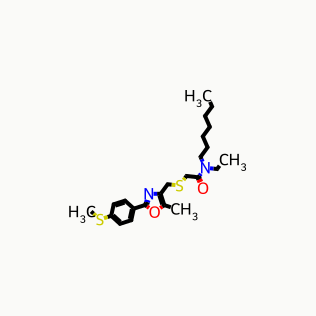 CCCCCCCN(CC)C(=O)CSCc1nc(-c2ccc(SC)cc2)oc1C